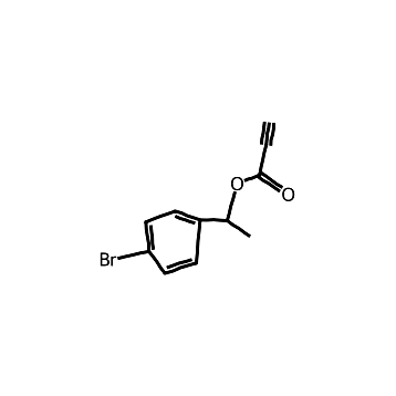 C#CC(=O)OC(C)c1ccc(Br)cc1